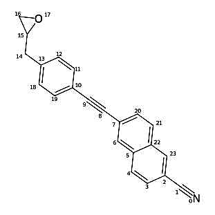 N#Cc1ccc2cc(C#Cc3ccc(CC4CO4)cc3)ccc2c1